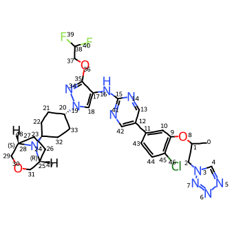 CC(Cn1cnnn1)Oc1cc(-c2cnc(Nc3cn([C@H]4CC[C@H](N5[C@@H]6CC[C@H]5COC6)CC4)nc3OCC(F)F)nc2)ccc1Cl